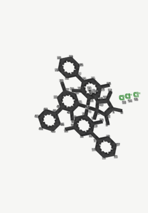 CC1=C(C)C(C)([Si](c2cc(C)cc(-c3ccccc3)c2C)(c2cc(C)cc(-c3ccccc3)c2C)c2cc(C)cc(-c3ccccc3)c2C)[C]([Ti+3])=C1C.[Cl-].[Cl-].[Cl-]